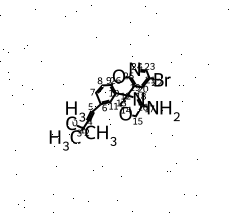 CC(C)(C)C#Cc1ccc2c(c1)C1(COCC(N)=N1)c1cc(Br)cnc1O2